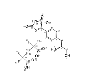 N[C@H](CO)Cc1ccc(C2=CC(=O)NS2(=O)=O)cc1.O=C(O)C(F)(F)F.O=C(O)C(F)(F)F